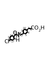 O=C(O)/C=C/c1ccc(/C=N/NC(=O)c2ccc(Cl)cc2)cc1